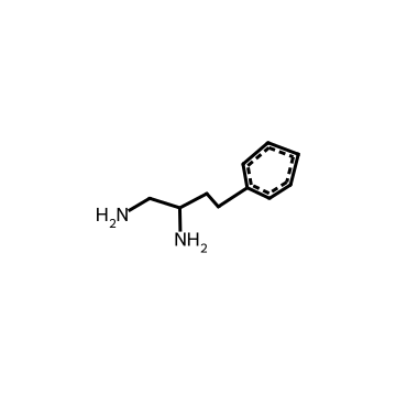 NCC(N)CCc1ccccc1